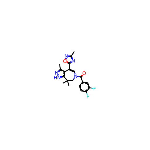 Cc1noc(C2=CN(C(=O)c3ccc(F)c(F)c3)CC(C)(C)c3[nH]nc(C)c32)n1